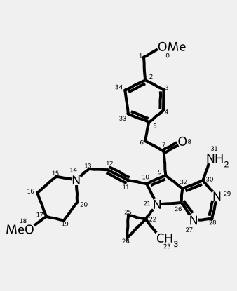 COCc1ccc(CC(=O)c2c(C#CCN3CCC(OC)CC3)n(C3(C)CC3)c3ncnc(N)c23)cc1